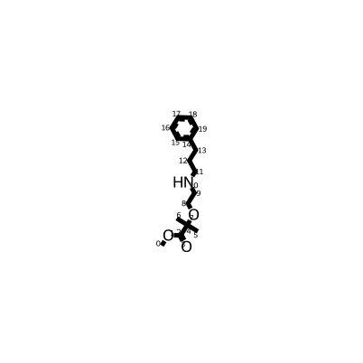 COC(=O)C(C)(C)OCCNCCCc1ccccc1